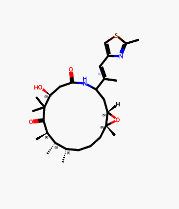 C/C(=C\c1csc(C)n1)C1C[C@@H]2O[C@]2(C)CCC[C@H](C)[C@H](C)[C@@H](C)C(=O)C(C)(C)[C@@H](O)CC(=O)N1